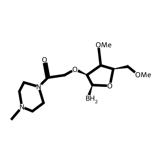 B[C@@H]1O[C@H](COC)C(OC)[C@@H]1OCC(=O)N1CCN(C)CC1